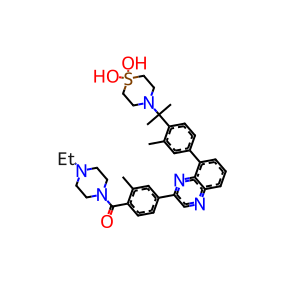 CCN1CCN(C(=O)c2ccc(-c3cnc4cccc(-c5ccc(C(C)(C)N6CCS(O)(O)CC6)c(C)c5)c4n3)cc2C)CC1